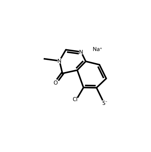 Cn1cnc2ccc([S-])c(Cl)c2c1=O.[Na+]